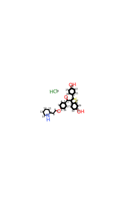 Cl.O=C(c1ccc(OCCC2CCCCN2)cc1)c1c(-c2ccc(O)cc2)sc2cc(O)ccc12